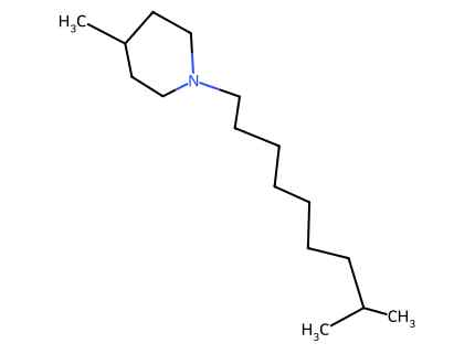 CC(C)CCCCCCCN1CCC(C)CC1